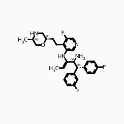 CC=C(Nc1cncc(F)c1CC[C@@H]1CN[C@H](C)CO1)[C@@H](N)[C@H](c1ccc(F)cc1)c1cccc(F)c1